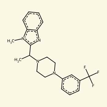 [CH2]C(c1nc2ccccc2n1C)N1CCN(c2cccc(C(F)(F)F)c2)CC1